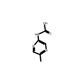 Cc1cnc(NC(=O)O)cn1